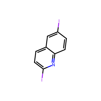 Ic1ccc2nc(I)ccc2c1